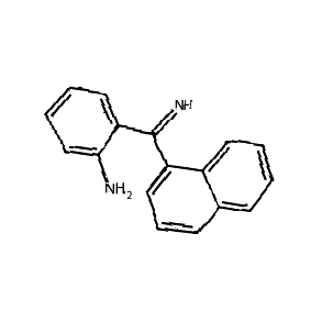 N=C(c1ccccc1N)c1cccc2ccccc12